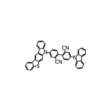 N#Cc1cc(-n2c3ccccc3c3ccccc32)ccc1-c1ccc(-n2c3ccccc3c3cc4c(cc32)sc2ccccc24)cc1C#N